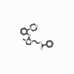 CN1CCN(CCOC(=O)c2ccccc2)/C1=N/c1ccccc1N1CCOCC1